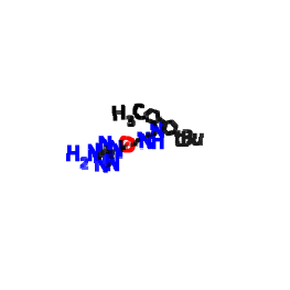 Cc1ccc2c3ccc(C(C)(C)C)cc3n(CCNCCOCn3cnc4c(N)ncnc43)c2c1